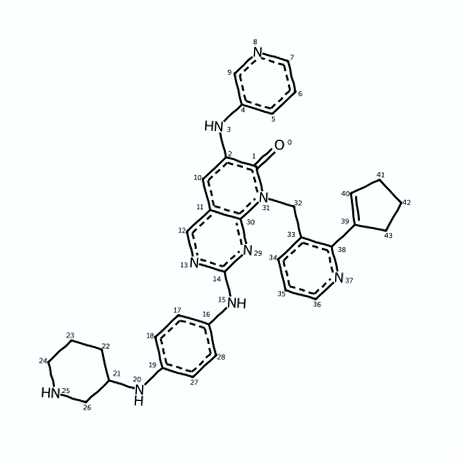 O=c1c(Nc2cccnc2)cc2cnc(Nc3ccc(NC4CCCNC4)cc3)nc2n1Cc1cccnc1C1=CCCC1